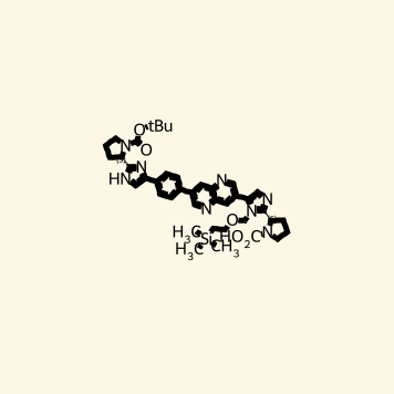 CC(C)(C)OC(=O)N1CCC[C@H]1c1nc(-c2ccc(-c3cnc4cc(-c5cnc([C@@H]6CCCN6C(=O)O)n5COCC[Si](C)(C)C)cnc4c3)cc2)c[nH]1